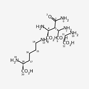 NC(=O)C[C@H](N)C(=O)O.NCC(=O)O.NCC(=O)O.NCCCC[C@H](N)C(=O)O